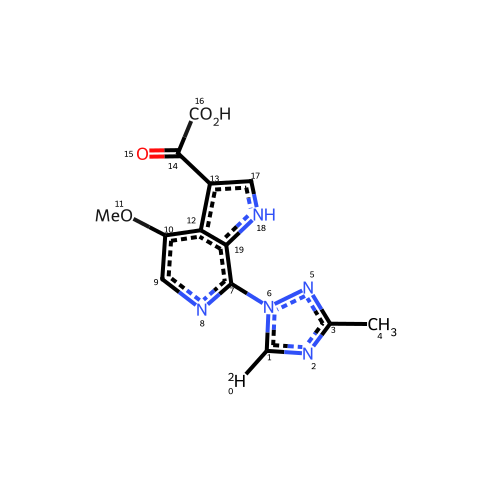 [2H]c1nc(C)nn1-c1ncc(OC)c2c(C(=O)C(=O)O)c[nH]c12